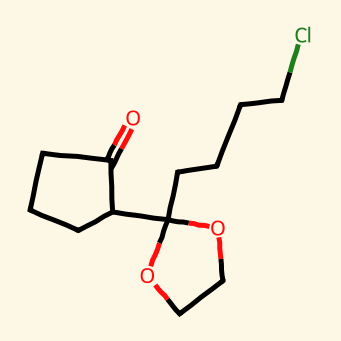 O=C1CCCC1C1(CCCCCl)OCCO1